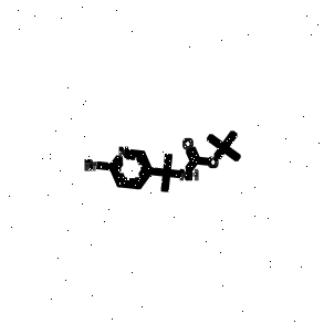 CC(C)(C)OC(=O)NC(C)(C)c1ccc(Br)nc1